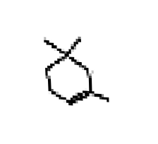 CC1=CCCC(C)(C)[CH]1